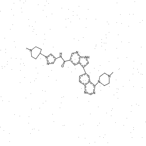 CN1CCC(n2cc(NC(=O)c3cnc4[nH]cc(-c5ccc6ncnc(N7CCN(C)CC7)c6c5)c4c3)cn2)CC1